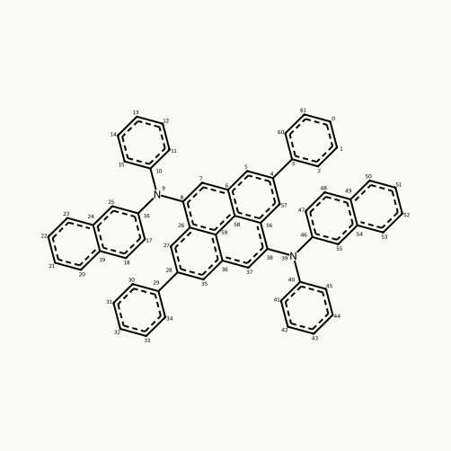 c1ccc(-c2cc3cc(N(c4ccccc4)c4ccc5ccccc5c4)c4cc(-c5ccccc5)cc5cc(N(c6ccccc6)c6ccc7ccccc7c6)c(c2)c3c54)cc1